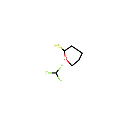 FC(F)F.SC1CCCCO1